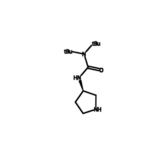 CC(C)(C)N(C(=O)N[C@@H]1CCNC1)C(C)(C)C